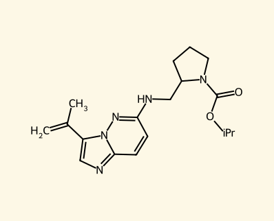 C=C(C)c1cnc2ccc(NCC3CCCN3C(=O)OC(C)C)nn12